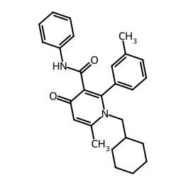 Cc1cccc(-c2c(C(=O)Nc3ccccc3)c(=O)cc(C)n2CC2CCCCC2)c1